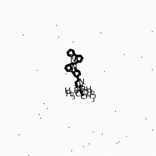 BC(B)(c1ccc(-c2ccc3c(c2)c2cccc4c2n3c2c3cccc5c6ccccc6n(c53)c42)nc1)C(C)(C)C